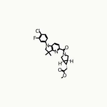 COC(=O)C[C@@H]1[C@H]2CN(C(=O)c3ccc4c(n3)C(C)(C)CN4c3ccc(Cl)c(F)c3)C[C@@H]12